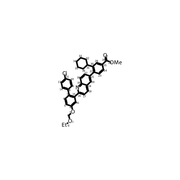 CCOCOc1ccc(-c2ccc(Cl)cc2)c(-c2ccc3cc(-c4ccc(C(=O)OC)cc4C4CCCCC4)ccc3n2)c1